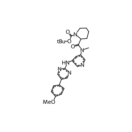 COc1ccc(-c2cnc(Nc3cncc(N(C)C(=O)C4CCCCN4C(=O)OC(C)(C)C)c3)nc2)cc1